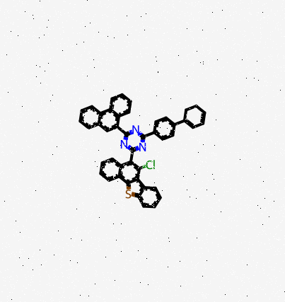 Clc1c(-c2nc(-c3ccc(C4=CC=CCC4)cc3)nc(-c3cc4ccccc4c4ccccc34)n2)c2ccccc2c2sc3ccccc3c12